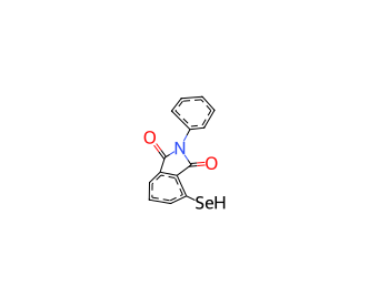 O=C1c2cccc([SeH])c2C(=O)N1c1ccccc1